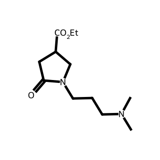 CCOC(=O)C1CC(=O)N(CCCN(C)C)C1